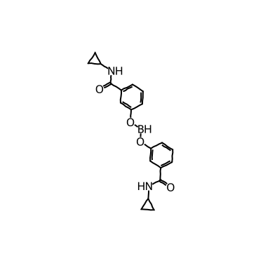 O=C(NC1CC1)c1cccc(OBOc2cccc(C(=O)NC3CC3)c2)c1